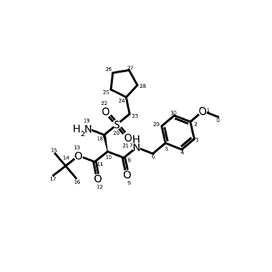 COc1ccc(CNC(=O)[C@@H](C(=O)OC(C)(C)C)C(N)S(=O)(=O)CC2CCCC2)cc1